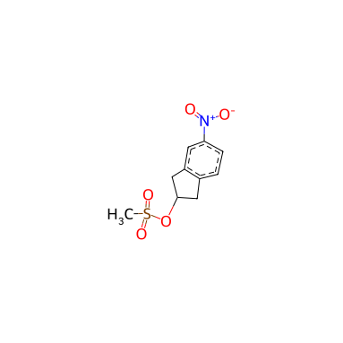 CS(=O)(=O)OC1Cc2ccc([N+](=O)[O-])cc2C1